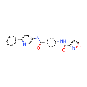 O=C(N[C@H]1CC[C@@H](C(=O)Nc2ccc(-c3ccccc3)nc2)CC1)c1ccon1